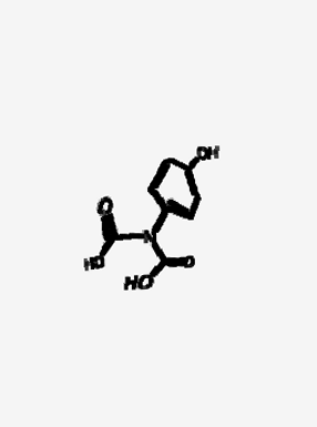 O=C(O)N(C(=O)O)c1ccc(O)cc1